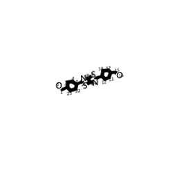 O=Cc1ccc(-c2nc3sc(-c4ccc(C=O)cc4)nc3s2)cc1